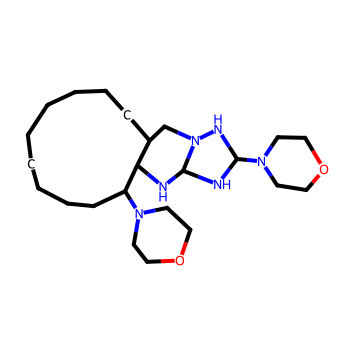 C1CCCCC2CN3NC(N4CCOCC4)NC3NC2C(N2CCOCC2)CCCC1